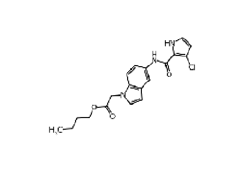 CCCCOC(=O)Cn1ccc2cc(NC(=O)c3[nH]ccc3Cl)ccc21